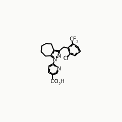 O=C(O)c1ccc(-n2nc(Cc3c(Cl)cccc3C(F)(F)F)c3c2CCCCC3)nc1